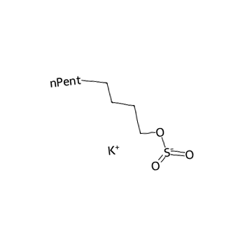 CCCCCCCCCO[S-](=O)=O.[K+]